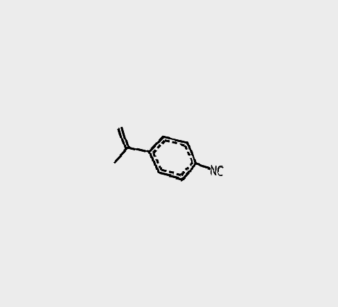 [C-]#[N+]c1ccc(C(=C)C)cc1